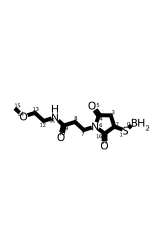 BSC1CC(=O)N(CCC(=O)NCCOC)C1=O